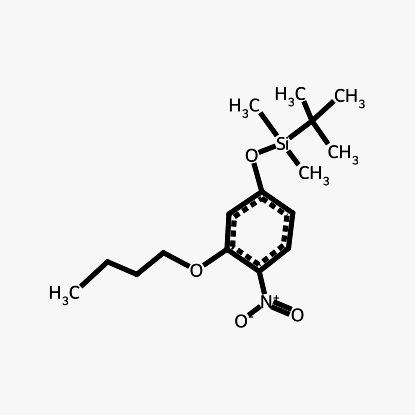 CCCCOc1cc(O[Si](C)(C)C(C)(C)C)ccc1[N+](=O)[O-]